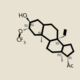 C=C[C@@]12CCC3C[C@H](O)[C@@H](OC(F)(F)F)C[C@]3(C)C1CC[C@@]1(C)C2CC[C@@H]1C(C)=O